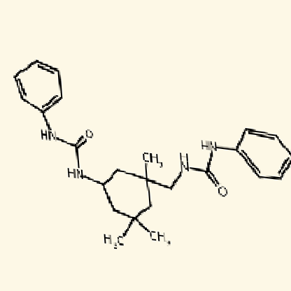 CC1(C)CC(NC(=O)Nc2ccccc2)CC(C)(CNC(=O)Nc2ccccc2)C1